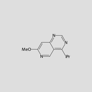 COc1cc2ncnc(C(C)C)c2cn1